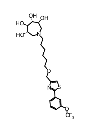 O[C@H]1[C@H](O)[C@@H](O)CN(CCCCCCOCc2csc(-c3cccc(OC(F)(F)F)c3)n2)C[C@@H]1O